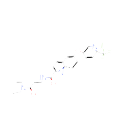 CCN(CC)C(=O)CCNC(=O)c1ccc2cc(Oc3ccc(C(F)(F)F)nc3)ccc2n1